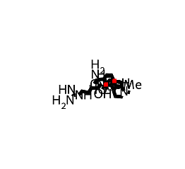 CO[C@@]12CC[C@@H](NC(O)CCCNC(=N)N)C[C@@]13CCN(C)[C@@H]2Cc1ccc(C(N)=O)c(O)c13